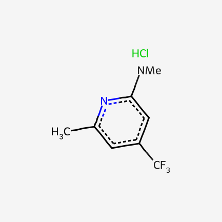 CNc1cc(C(F)(F)F)cc(C)n1.Cl